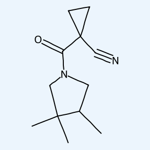 CC1CN(C(=O)C2(C#N)CC2)CC1(C)C